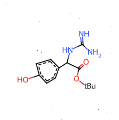 CC(C)(C)OC(=O)C(NC(=N)N)c1ccc(O)cc1